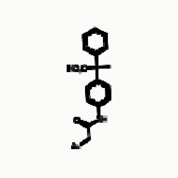 CC(=O)CC(=O)Nc1ccc(C(C)(C(=O)O)c2ccccc2)cc1